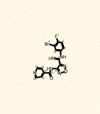 N=C(Nc1ccc(F)c(Br)c1)c1nonc1NC(=O)c1ccncc1